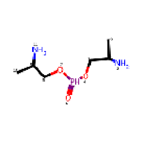 CC(N)CO[PH](=O)OCC(C)N